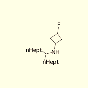 CCCCCCCC(CCCCCCC)NC1CC(F)C1